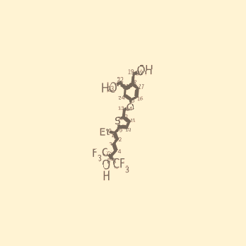 CCC(=CC=CC(O)(C(F)(F)F)C(F)(F)F)c1ccc(COc2ccc(CO)c(CO)c2)s1